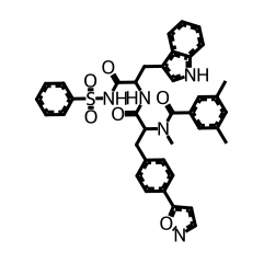 Cc1cc(C)cc(C(=O)N(C)C(Cc2ccc(-c3ccno3)cc2)C(=O)NC(Cc2c[nH]c3ccccc23)C(=O)NS(=O)(=O)c2ccccc2)c1